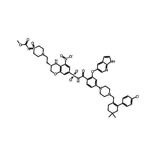 COC(=O)N=S1(=O)CCN(CC[C@@H]2COc3cc(S(=O)(=O)NC(=O)c4ccc(N5CCN(CC6=C(c7ccc(Cl)cc7)CC(C)(C)CC6)CC5)cc4Oc4cnc5[nH]ccc5c4)cc([N+](=O)[O-])c3N2)CC1